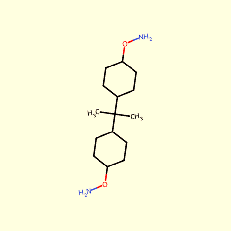 CC(C)(C1CCC(ON)CC1)C1CCC(ON)CC1